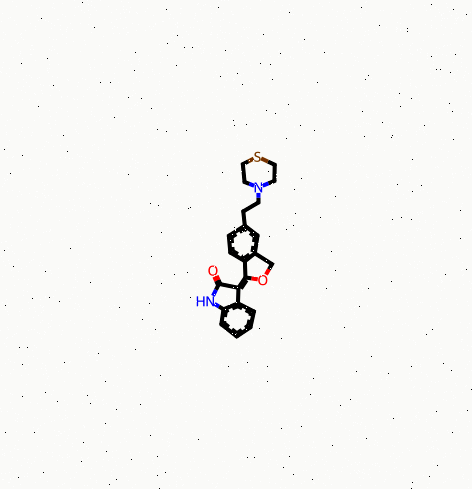 O=C1Nc2ccccc2C1=C1OCc2cc(CCN3CCSCC3)ccc21